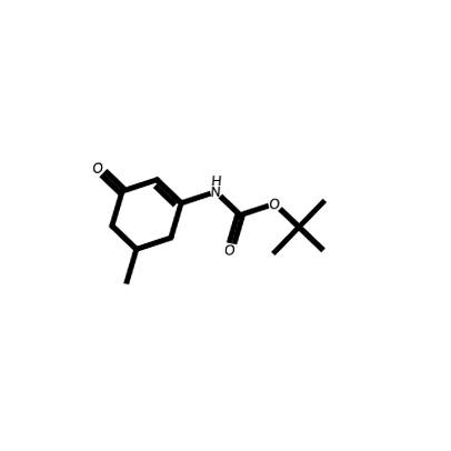 CC1CC(=O)C=C(NC(=O)OC(C)(C)C)C1